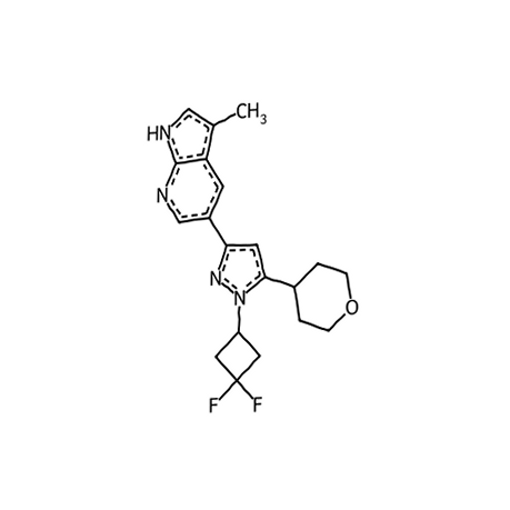 Cc1c[nH]c2ncc(-c3cc(C4CCOCC4)n(C4CC(F)(F)C4)n3)cc12